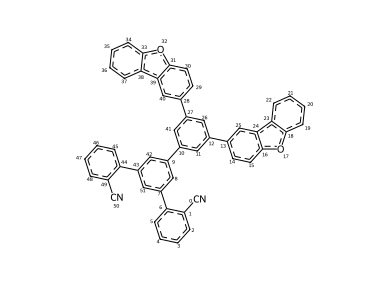 N#Cc1ccccc1-c1cc(-c2cc(-c3ccc4oc5ccccc5c4c3)cc(-c3ccc4oc5ccccc5c4c3)c2)cc(-c2ccccc2C#N)c1